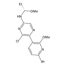 CC[C@@H](Nc1cnc(-c2ccc(C(C)C)nc2OC)c(Cl)n1)OC